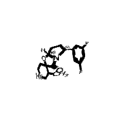 CC1CNCCC12O[C@@H]1CC[C@@H](c3cc(F)cc(F)c3)N1C2=O